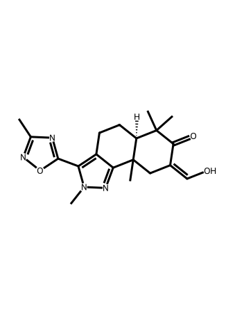 Cc1noc(-c2c3c(nn2C)C2(C)C/C(=C/O)C(=O)C(C)(C)[C@@H]2CC3)n1